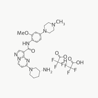 COc1cc(N2CCN(C)CC2)ccc1NC(=O)c1cnn2ccc(N3CCC[C@@H](N)C3)nc12.O=C(O)C(F)(F)F.O=C(O)C(F)(F)F